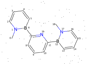 CN1C=CC=CB1c1cccc(B2C=CC=CN2C)n1